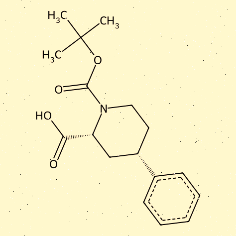 CC(C)(C)OC(=O)N1CC[C@H](c2ccccc2)C[C@@H]1C(=O)O